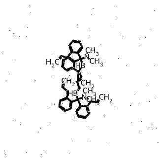 C=CCc1ccccc1C(BCCCCBC(c1ccccc1CC=C)(c1ccccc1CC=C)N(C)C)(c1ccccc1CC=C)N(C)C